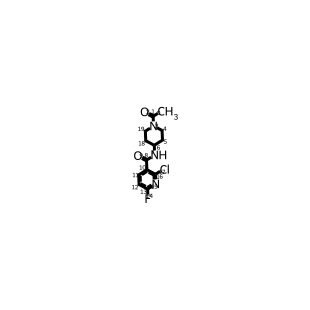 CC(=O)N1CCC(NC(=O)c2ccc(F)nc2Cl)CC1